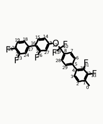 Cc1ccc(-c2ccc(C(F)(F)Oc3ccc(-c4ccc(F)c(F)c4)c(F)c3)cc2)c(F)c1F